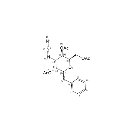 CC(=O)OC[C@H]1O[C@@H](Sc2ccccc2)[C@H](OC(C)=O)C(N=[N+]=[N-])[C@H]1OC(C)=O